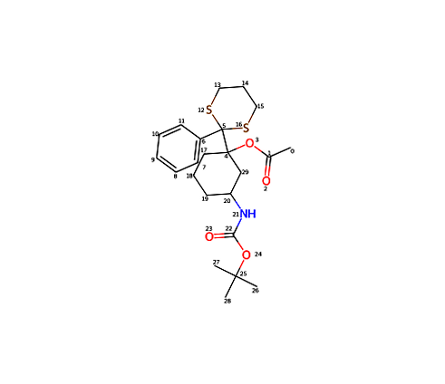 CC(=O)OC1(C2(c3ccccc3)SCCCS2)CCCC(NC(=O)OC(C)(C)C)C1